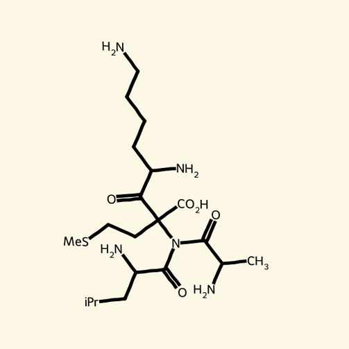 CSCCC(C(=O)O)(C(=O)C(N)CCCCN)N(C(=O)C(C)N)C(=O)C(N)CC(C)C